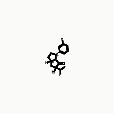 CCC1(C(F)F)C[C@@H]2CC[C@H](c3cccc(F)c3)N2C1=O